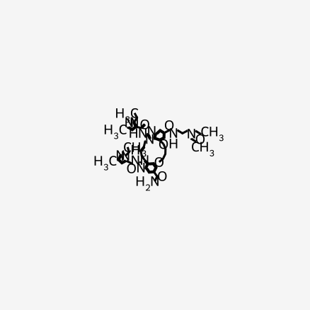 CCn1nc(C)cc1C(=O)Nc1nc2cc(C(N)=O)cc3c2n1C/C=C/Cn1c(NC(=O)c2cc(C)nn2CC)nc2cc(C(=O)NCCCN4C[C@@H](C)O[C@@H](C)C4)cc(c21)OCCCO3